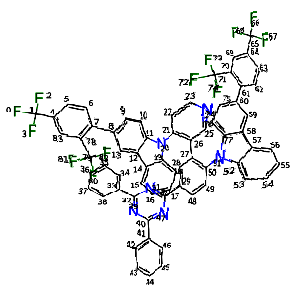 FC(F)(F)c1ccc(-c2ccc3c(c2)c2ccccc2n3-c2ccncc2-c2cc(-c3nc(-c4ccccc4)nc(-c4ccccc4)n3)ccc2-n2c3ccccc3c3cc(-c4ccc(C(F)(F)F)cc4C(F)(F)F)ccc32)c(C(F)(F)F)c1